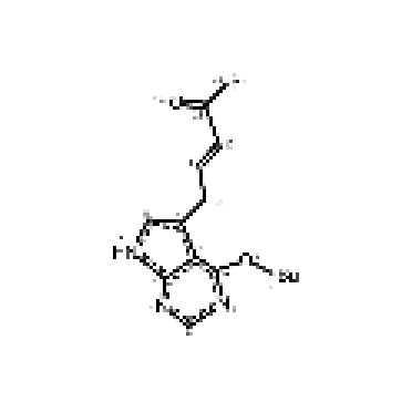 CCC(C)Oc1ncnc2[nH]cc(C/C=C/C(=O)C(C)C)c12